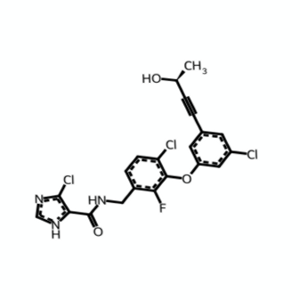 C[C@H](O)C#Cc1cc(Cl)cc(Oc2c(Cl)ccc(CNC(=O)c3[nH]cnc3Cl)c2F)c1